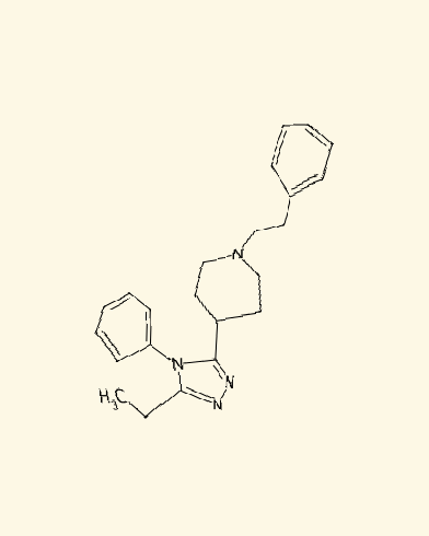 CCc1nnc(C2CCN(CCc3ccccc3)CC2)n1-c1ccccc1